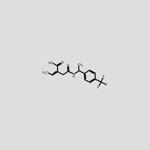 CC=C(CC(=O)NC(C)c1ccc(C(F)(F)F)cc1)C(=O)O